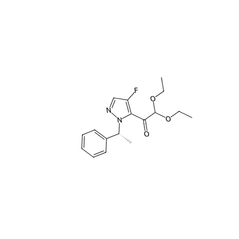 CCOC(OCC)C(=O)c1c(F)cnn1[C@H](C)c1ccccc1